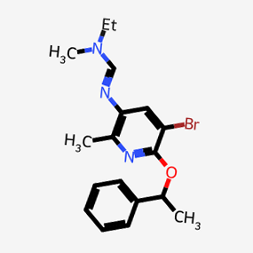 CCN(C)C=Nc1cc(Br)c(OC(C)c2ccccc2)nc1C